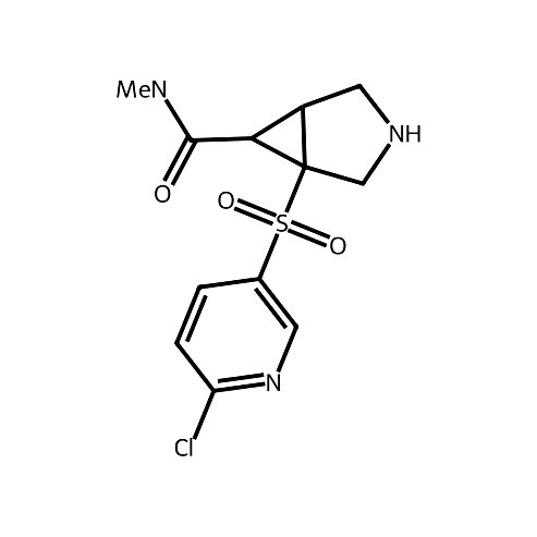 CNC(=O)C1C2CNCC21S(=O)(=O)c1ccc(Cl)nc1